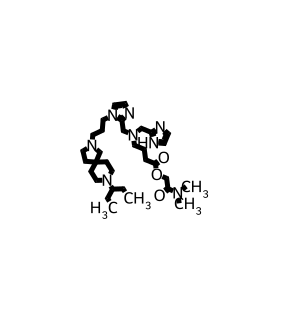 CCC(CC)N1CCC2(CCN(CCCn3ccnc3CN(CCCC(=O)OCC(=O)N(C)C)Cc3ncc[nH]3)C2)CC1